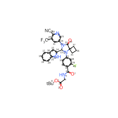 CC(C)(C)OC(=O)CNC(=O)c1ccc(N2C(c3cc4ccccc4[nH]3)N(c3cnc(C#N)c(C(F)(F)F)c3)C(=O)C23CCC3)cc1F